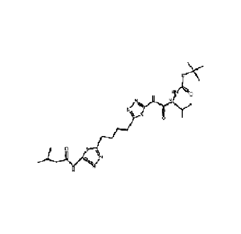 CC(C)CC(=O)Nc1nnc(CCCCc2nnc(NC(=O)[C@@H](NC(=O)OC(C)(C)C)C(C)C)s2)s1